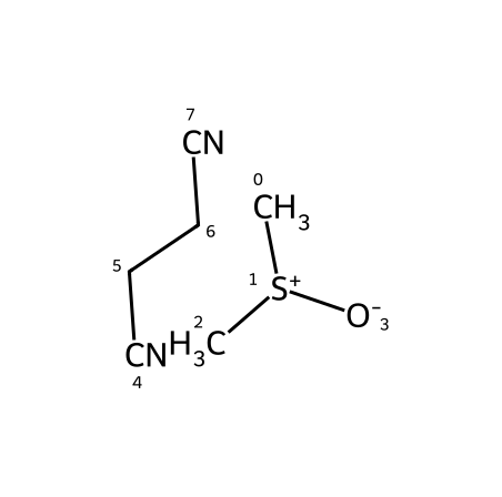 C[S+](C)[O-].N#CCCC#N